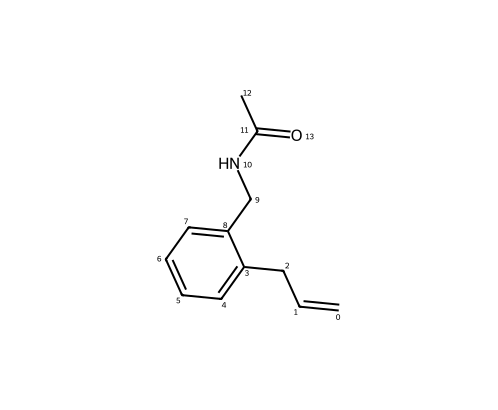 C=CCc1ccccc1CNC(C)=O